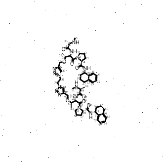 CN[C@@H](C)C(=O)N[C@H](C(=O)N1CCC[C@H]1C(=O)N[C@@H]1CCCc2ccccc21)[C@@H](C)OCc1cn(CCn2cc(CO[C@H](C)[C@H](NC(=O)[C@H](C)NC)C(=O)N3CCC[C@H]3C(=O)N[C@@H]3CCCc4ccccc43)nn2)nn1